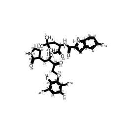 CC(C)(C)CC(NC(=O)c1cc2cc(F)ccc2[nH]1)C(=O)NC(CC1CCNC1=O)C(=O)COc1c(F)c(F)cc(F)c1F